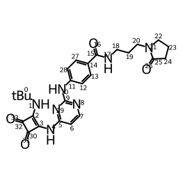 CC(C)(C)Nc1c(Nc2ccnc(Nc3ccc(C(=O)NCCCN4CCCC4=O)cc3)n2)c(=O)c1=O